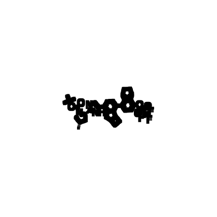 C[C@H]1C[C@@H](c2ncc(-c3ccc(-c4ccc(OS(=O)(=O)C(F)(F)F)c5c4C4CCC5C4)c4c3CC3CCC43)[nH]2)N(C(=O)OC(C)(C)C)C1